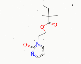 CCC(C)(C)C(=O)OCCn1cccnc1=O